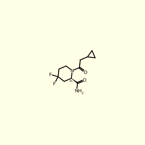 NC(=O)[C@H]1CC(F)(F)CCN1C(=O)[CH]C1CC1